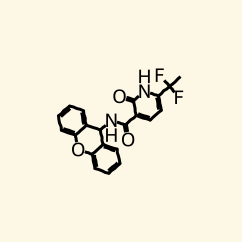 CC(F)(F)c1ccc(C(=O)NC2c3ccccc3Oc3ccccc32)c(=O)[nH]1